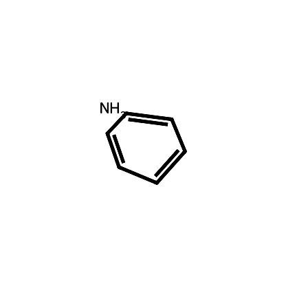 N.c1ccccc1